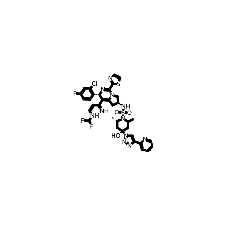 CC1C[C@](O)(n2cc(-c3ccccn3)nn2)C[C@H](C)N1S(=O)(=O)N[C@H]1CC2=C(C(=N)/C=C\NC(F)F)[C@H](c3ccc(F)cc3Cl)N=C(c3nccs3)N2C1